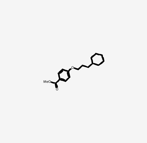 COC(=O)c1ccc(OCCCC2CCCCC2)cc1